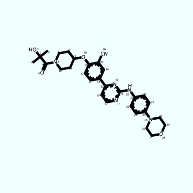 CC(C)(O)C(=O)N1CCC(Oc2ccc(-c3ccnc(Nc4ccc(N5CCOCC5)cc4)n3)cc2C#N)CC1